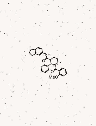 COc1ccccc1C(=O)N1CCCC(C(=O)Nc2ccc3c(c2)CCC3)C1c1ccccc1